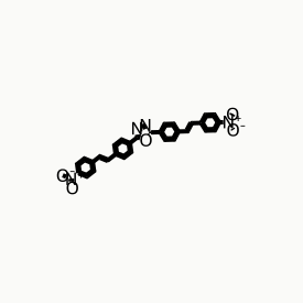 O=[N+]([O-])c1ccc(/C=C/c2ccc(-c3nnc(-c4ccc(/C=C/c5ccc([N+](=O)[O-])cc5)cc4)o3)cc2)cc1